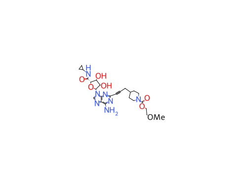 COCCOC(=O)N1CCC(CC#Cc2nc(N)c3ncn([C@@H]4O[C@H](C(=O)NC5CC5)C(O)[C@@H]4O)c3n2)CC1